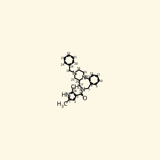 Cc1cc(C(=O)N2Cc3ccccc3N3CCN(Cc4ccccc4)CC3C2)c(C)[nH]1